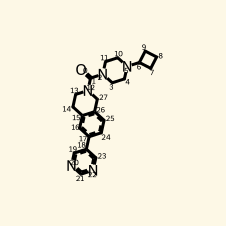 O=C(N1CCN(C2CCC2)CC1)N1CCc2cc(-c3cncnc3)ccc2C1